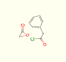 O=C(Cl)Cc1ccccc1.O=C1CO1